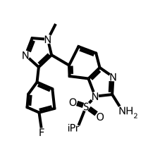 CC(C)S(=O)(=O)n1c(N)nc2ccc(-c3c(-c4ccc(F)cc4)ncn3C)cc21